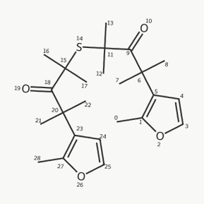 Cc1occc1C(C)(C)C(=O)C(C)(C)SC(C)(C)C(=O)C(C)(C)c1ccoc1C